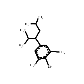 Cc1cc(C(CC(C)C)C(C)C)cc(C)c1O